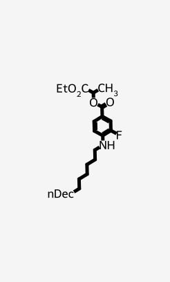 CCCCCCCCCCCCCCCCNc1ccc(C(=O)OC(C)C(=O)OCC)cc1F